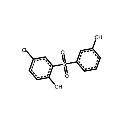 O=S(=O)(c1cccc(O)c1)c1cc(Cl)ccc1O